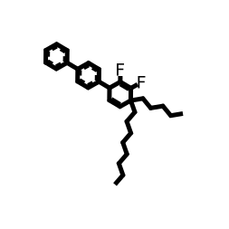 CCCCCCCCC1(CCCCC)C=CC(c2ccc(-c3ccccc3)cc2)C(F)=C1F